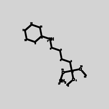 COC(CCCCNC1CCCCC1)(OC)O[SiH3]